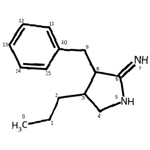 CCCC1CNC(=N)C1Cc1ccccc1